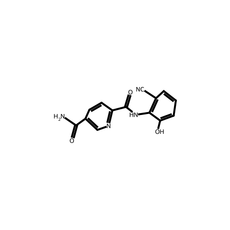 N#Cc1cccc(O)c1NC(=O)c1ccc(C(N)=O)cn1